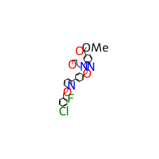 COC(=O)c1ccc2nc(Oc3ccc(-c4cccc(OCc5ccc(Cl)cc5F)n4)cc3)n(CC3CCO3)c2c1